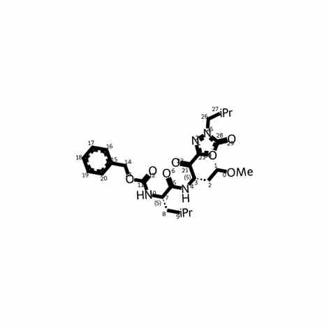 COCC[C@H](NC(=O)[C@H](CC(C)C)NC(=O)OCc1ccccc1)C(=O)c1nn(CC(C)C)c(=O)o1